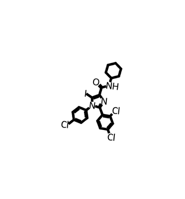 O=C(NC1CCCCC1)c1nc(-c2ccc(Cl)cc2Cl)n(-c2ccc(Cl)cc2)c1I